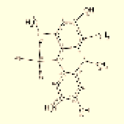 CCc1cc(O)c(N)cc1C(c1cc(N)c(O)cc1CC)C(F)(F)F